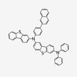 c1ccc(N(c2ccccc2)c2ccc3c(c2)sc2ccc(N(c4ccc(-c5ccc6ccccc6c5)cc4)c4ccc5c(c4)sc4ccccc45)cc23)cc1